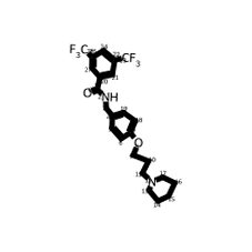 O=C(NCc1ccc(OCCCN2CCCCC2)cc1)c1cc(C(F)(F)F)cc(C(F)(F)F)c1